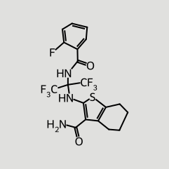 NC(=O)c1c(NC(NC(=O)c2ccccc2F)(C(F)(F)F)C(F)(F)F)sc2c1CCCC2